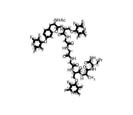 CC(=O)N[C@H](Cc1ccc(Oc2c(F)c(F)nc(F)c2F)cc1)C(=O)NC(COc1c(F)c(F)nc(F)c1F)C(=O)NCC(=O)NCC(=O)NCC(=O)NC(COc1c(F)c(F)nc(F)c1F)C(=O)NC(C)C(=O)N[C@@H](CC(C)C)C(N)=O